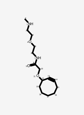 CNCCOCCNC(=O)COC1C#CCCCCC1